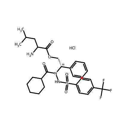 CC(C)CC(N)C(=O)OC[C@H](c1ccccc1)N(NS(=O)(=O)c1ccc(C(F)(F)F)cc1)C(=O)C1CCCCC1.Cl